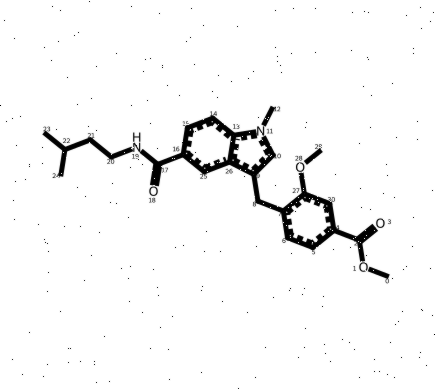 COC(=O)c1ccc(Cc2cn(C)c3ccc(C(=O)NCCC(C)C)cc23)c(OC)c1